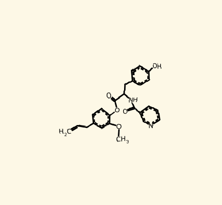 C=CCc1ccc(OC(=O)C(Cc2ccc(O)cc2)NC(=O)c2cccnc2)c(OC)c1